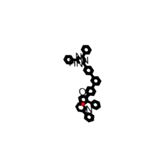 C1=Cc2c(c3ccccc3n2-c2ccccc2-c2cccc3oc4cc(-c5cccc(-c6ccc(C7N=C(c8ccccc8)N=C(c8ccccc8)N7)cc6)c5)ccc4c23)CC1